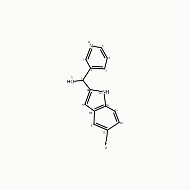 OC(c1cccnc1)c1cc2cc(F)ccc2[nH]1